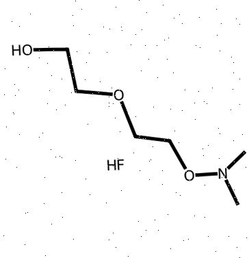 CN(C)OCCOCCO.F